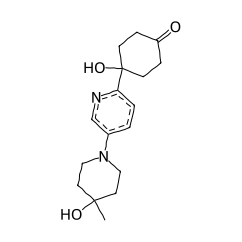 CC1(O)CCN(c2ccc(C3(O)CCC(=O)CC3)nc2)CC1